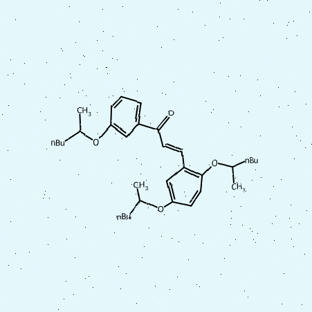 CCCCC(C)Oc1cccc(C(=O)C=Cc2cc(OC(C)CCCC)ccc2OC(C)CCCC)c1